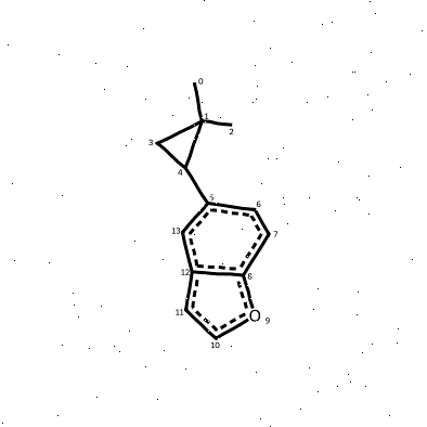 CC1(C)CC1c1ccc2occc2c1